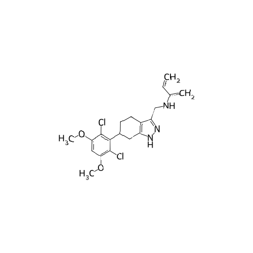 C=CC(=C)NCc1n[nH]c2c1CCC(c1c(Cl)c(OC)cc(OC)c1Cl)C2